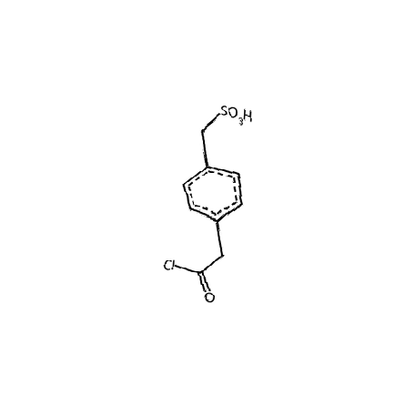 O=C(Cl)Cc1ccc(CS(=O)(=O)O)cc1